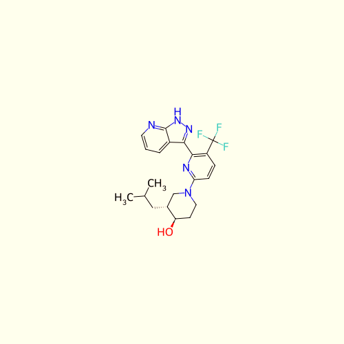 CC(C)C[C@@H]1CN(c2ccc(C(F)(F)F)c(-c3n[nH]c4ncccc34)n2)CC[C@H]1O